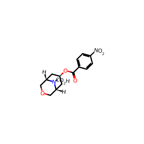 O=C(O[C@@H]1C[C@H]2COC[C@@H](C1)N2C(=O)O)c1ccc([N+](=O)[O-])cc1